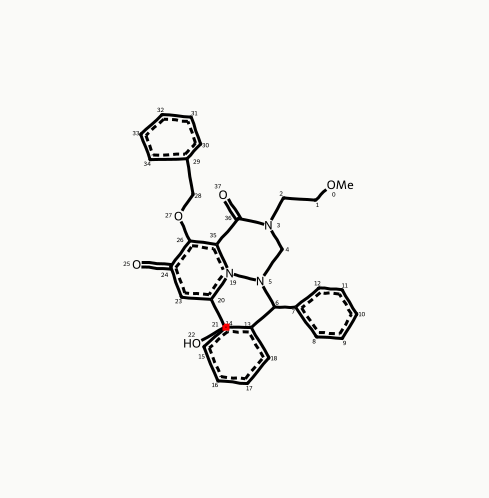 COCCN1CN(C(c2ccccc2)c2ccccc2)n2c(CO)cc(=O)c(OCc3ccccc3)c2C1=O